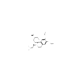 CCOc1cc2c(cc1OCC)[C@]1(CC[C@@H](C(=O)O)CC1)N(C(=O)CN(C)C)CC2